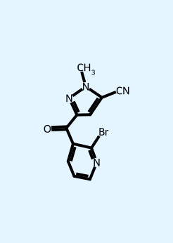 Cn1nc(C(=O)c2cccnc2Br)cc1C#N